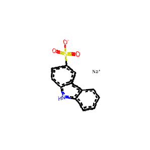 O=S(=O)([O-])c1ccc2[nH]c3ccccc3c2c1.[Na+]